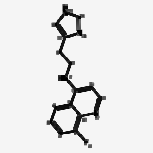 Fc1cccc2c(NCCc3c[nH]cn3)ccnc12